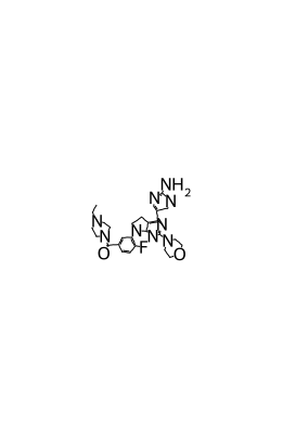 CCN1CCN(C(=O)c2ccc(F)c(N3CCc4c(-c5cnc(N)nc5)nc(N5CCOCC5)nc43)c2)CC1